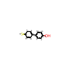 Oc1ccc(C2=CCC(=S)C=C2)cc1